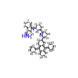 C1=Cc2c(c3ccccc3n2-c2cccc(-c3cccc(-c4ccc5c(-c6ccccc6)c6ccccc6c(-c6ccccc6)c5c4)n3)c2)CN1